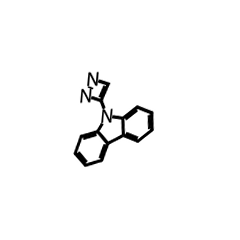 C1=C(n2c3ccccc3c3ccccc32)N=N1